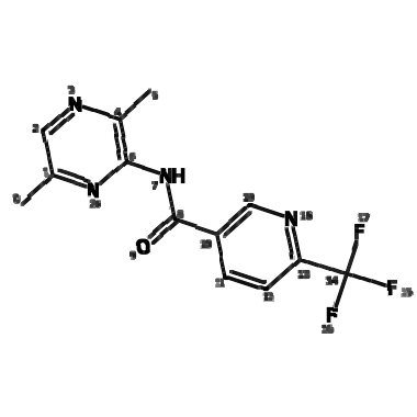 Cc1cnc(C)c(NC(=O)c2ccc(C(F)(F)F)nc2)n1